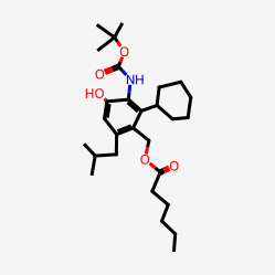 CCCCCC(=O)OCc1c(CC(C)C)cc(O)c(NC(=O)OC(C)(C)C)c1C1CCCCC1